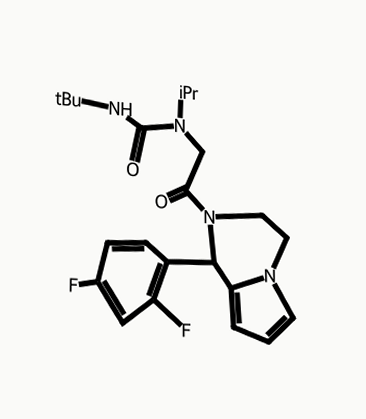 CC(C)N(CC(=O)N1CCn2cccc2C1c1ccc(F)cc1F)C(=O)NC(C)(C)C